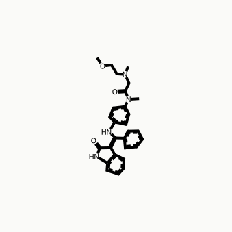 COCCN(C)CC(=O)N(C)c1ccc(N/C(=C2\C(=O)Nc3ccccc32)c2ccccc2)cc1